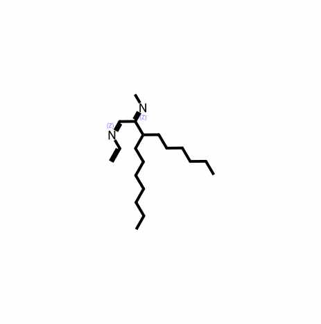 C=C/N=C\C(=N/C)C(CCCCCC)CCCCCCC